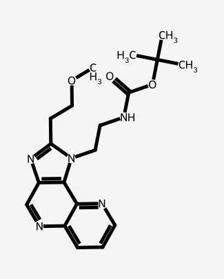 COCCc1nc2cnc3cccnc3c2n1CCNC(=O)OC(C)(C)C